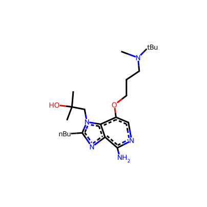 CCCCc1nc2c(N)ncc(OCCCN(C)C(C)(C)C)c2n1CC(C)(C)O